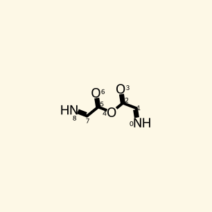 N=CC(=O)OC(=O)C=N